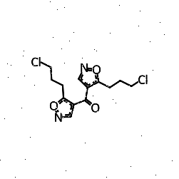 O=C(c1cnoc1CCCCl)c1cnoc1CCCCl